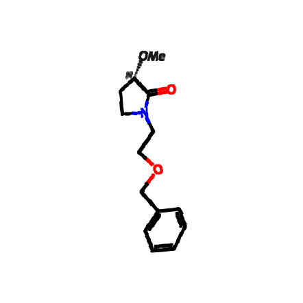 CO[C@H]1CCN(CCOCc2ccccc2)C1=O